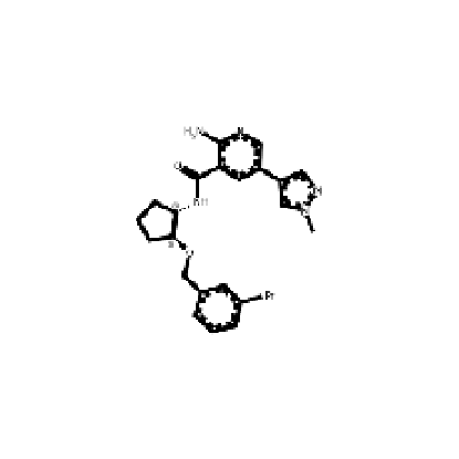 CC(C)c1cccc(CO[C@H]2CCC[C@@H]2NC(=O)c2cc(-c3cnn(C)c3)cnc2N)c1